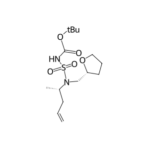 C=CC[C@H](C)N(C[C@H]1CCCO1)S(=O)(=O)NC(=O)OC(C)(C)C